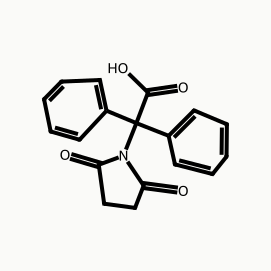 O=C1CCC(=O)N1C(C(=O)O)(c1ccccc1)c1ccccc1